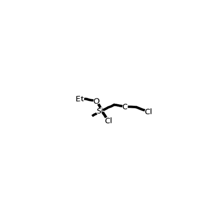 CCO[Si](C)(Cl)CCCCl